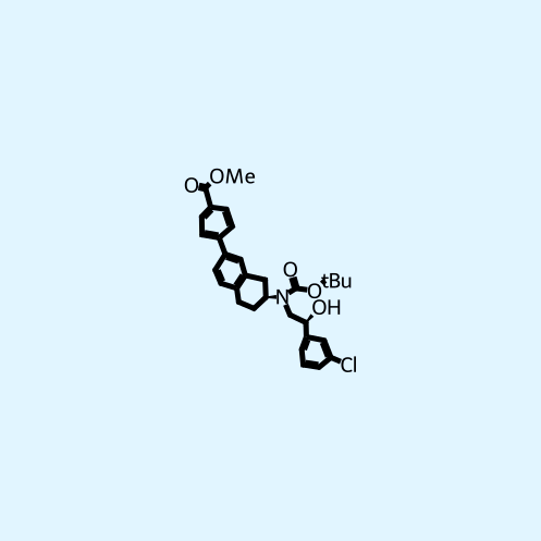 COC(=O)c1ccc(-c2ccc3c(c2)C[C@@H](N(C[C@@H](O)c2cccc(Cl)c2)C(=O)OC(C)(C)C)CC3)cc1